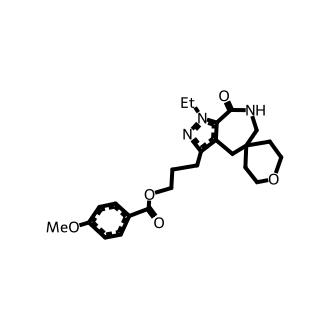 CCn1nc(CCCOC(=O)c2ccc(OC)cc2)c2c1C(=O)NCC1(CCOCC1)C2